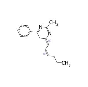 CCC/C=C\C=C1/CC(c2ccccc2)=NC(C)=N1